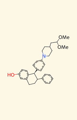 COC(CC1CCN(c2ccc([C@@H]3c4ccc(O)cc4CCC3c3ccccc3)cc2)CC1)OC